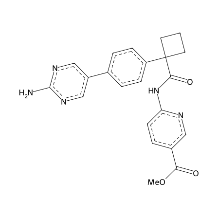 COC(=O)c1ccc(NC(=O)C2(c3ccc(-c4cnc(N)nc4)cc3)CCC2)nc1